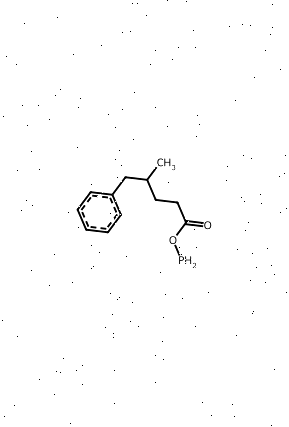 CC(CCC(=O)OP)Cc1ccccc1